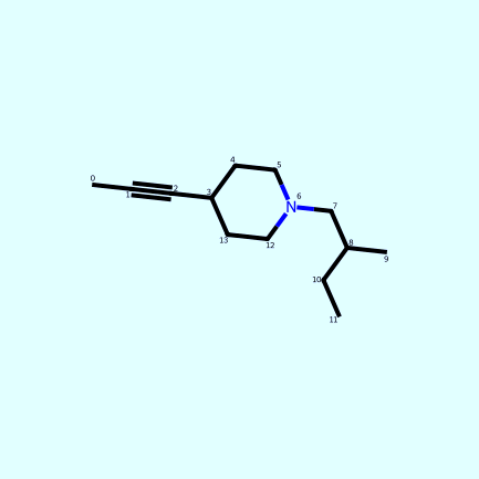 CC#CC1CCN(CC(C)CC)CC1